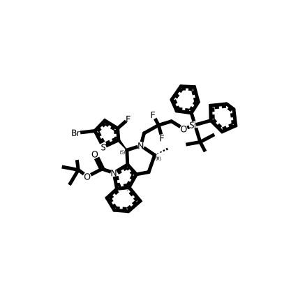 C[C@@H]1Cc2c(n(C(=O)OC(C)(C)C)c3ccccc23)[C@@H](c2sc(Br)cc2F)N1CC(F)(F)CO[Si](c1ccccc1)(c1ccccc1)C(C)(C)C